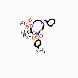 Cc1ccc(S(=O)(=O)N2CCCN(CC3CCCCC3)CCCN(S(=O)(=O)C(C)C)CC(C)(C)C2)cc1